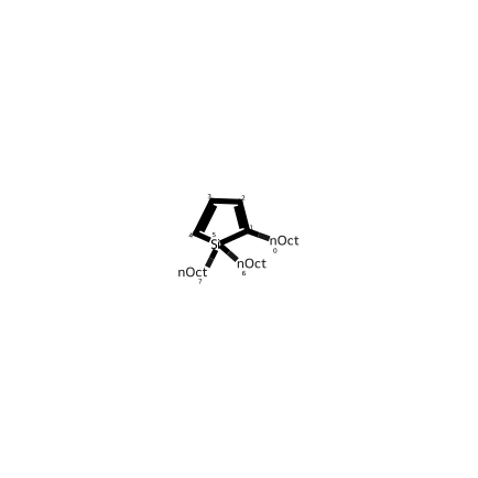 CCCCCCCCC1=CC=C[Si]1(CCCCCCCC)CCCCCCCC